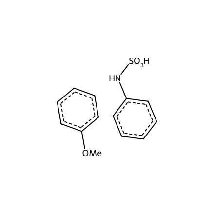 COc1ccccc1.O=S(=O)(O)Nc1ccccc1